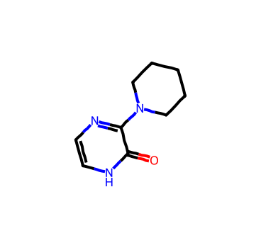 O=c1[nH]ccnc1N1CCCCC1